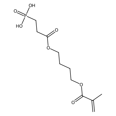 C=C(C)C(=O)OCCCCOC(=O)CCP(=O)(O)O